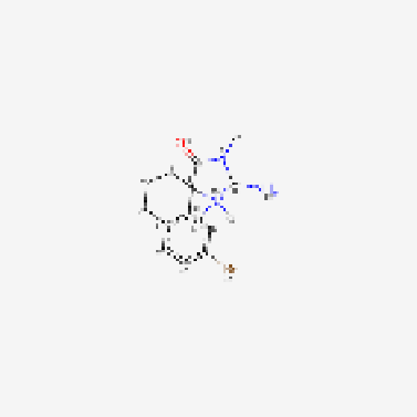 CN1C(=O)C2(CCCc3ccc(Br)cc32)[N+](C)(C)C1N